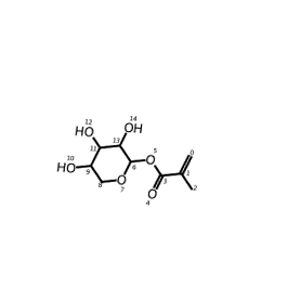 C=C(C)C(=O)OC1OCC(O)C(O)C1O